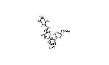 COc1ccc(-c2nc(C(C)C)oc2-c2ccc(OCc3ccccc3)cc2)cc1